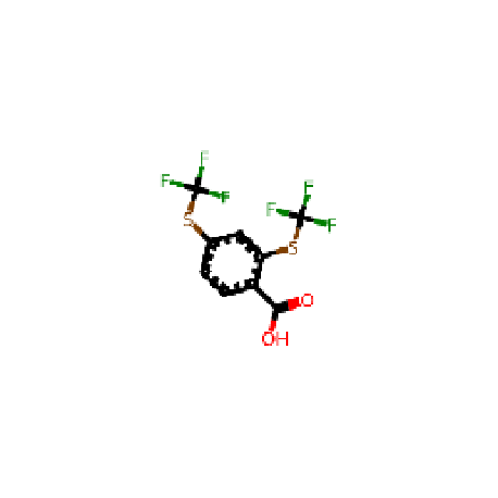 O=C(O)c1ccc(SC(F)(F)F)cc1SC(F)(F)F